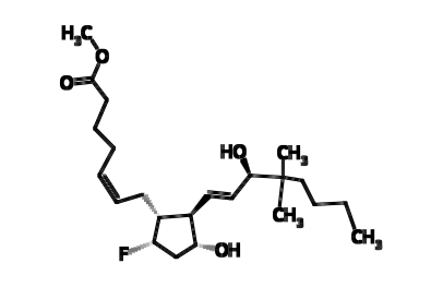 CCCCC(C)(C)[C@H](O)/C=C/[C@@H]1[C@@H](C/C=C\CCCC(=O)OC)[C@@H](F)C[C@H]1O